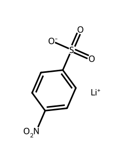 O=[N+]([O-])c1ccc(S(=O)(=O)[O-])cc1.[Li+]